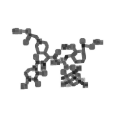 CCN1CCN(C(=O)NC(C(=O)N[C@@H](Cc2cccc(C(=O)OC(C)(C)C)c2OC)B2O[C@@H]3C[C@@H]4C[C@@H](C4(C)C)[C@]3(C)O2)C2CCN(CC(=O)OC(C)(C)C)CC2)C(=O)C1=O